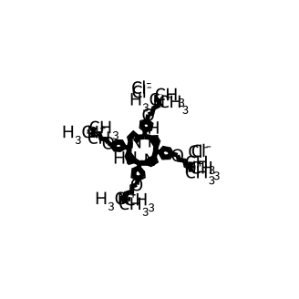 C[N+](C)(C)CCCOc1ccc(-c2c3nc(c(-c4ccc(OCCC[N+](C)(C)C)cc4)c4ccc([nH]4)c(-c4ccc(OCCC[N+](C)(C)C)cc4)c4nc(c(-c5ccc(OCCC[N+](C)(C)C)cc5)c5ccc2[nH]5)C=C4)C=C3)cc1.[Cl-].[Cl-].[Cl-].[Cl-]